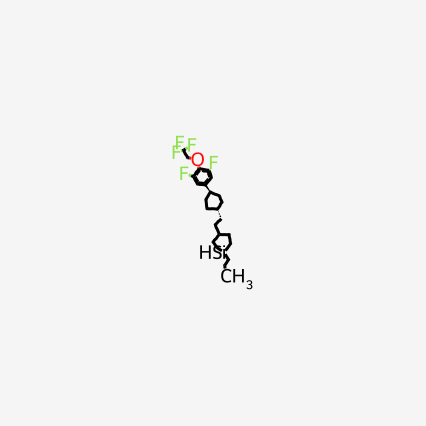 CCC[SiH]1CCC(CC[C@H]2CC[C@H](c3cc(F)c(OCC(F)(F)F)c(F)c3)CC2)CC1